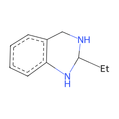 CCC1NCc2ccccc2N1